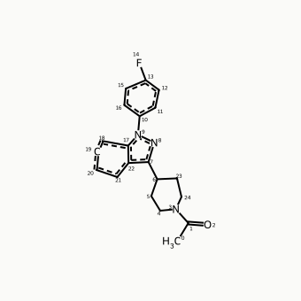 CC(=O)N1CCC(c2nn(-c3ccc(F)cc3)c3ccccc23)CC1